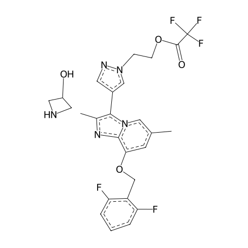 Cc1cc(OCc2c(F)cccc2F)c2nc(C)c(-c3cnn(CCOC(=O)C(F)(F)F)c3)n2c1.OC1CNC1